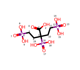 O=C(O)C(CCP(=O)(O)O)(CCP(=O)(O)O)P(=O)(O)O